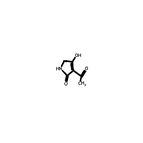 CC(=O)C1=C(O)CNC1=O